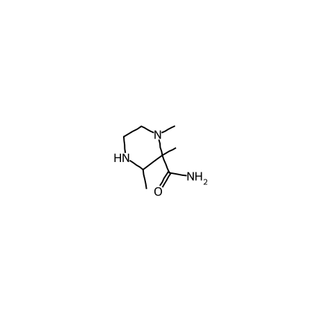 CC1NCCN(C)C1(C)C(N)=O